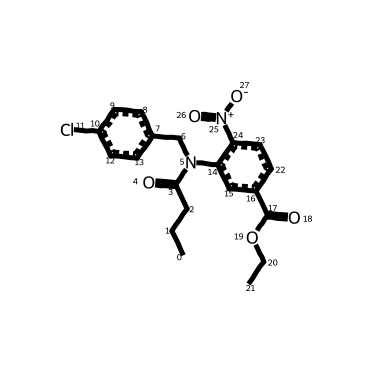 CCCC(=O)N(Cc1ccc(Cl)cc1)c1cc(C(=O)OCC)ccc1[N+](=O)[O-]